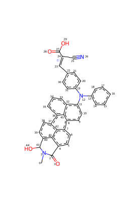 CN1C(=O)c2ccc3c4ccc(N(c5ccccc5)c5ccc(/C=C(\C#N)C(=O)O)cc5)c5cccc(c6ccc(c2c36)C1O)c54